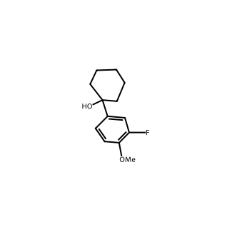 COc1ccc(C2(O)CCCCC2)cc1F